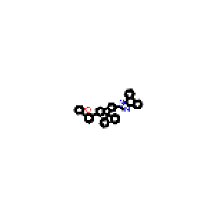 C1=CC(c2cccc3c2oc2ccccc23)CC2=C1c1ccc(-c3cnc4c5ccccc5c5ccccc5c4n3)cc1C2(c1ccccc1)c1ccccc1